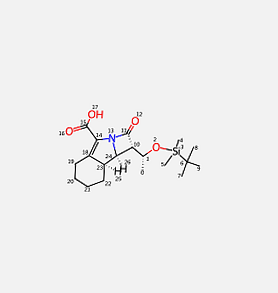 C[C@@H](O[Si](C)(C)C(C)(C)C)[C@H]1C(=O)N2C(C(=O)O)=C3CCCC[C@@H]3[C@H]12